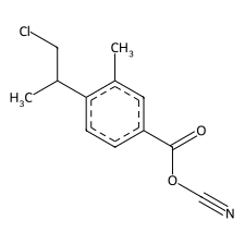 Cc1cc(C(=O)OC#N)ccc1C(C)CCl